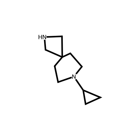 C1CC1N1CCC2(CC1)CNC2